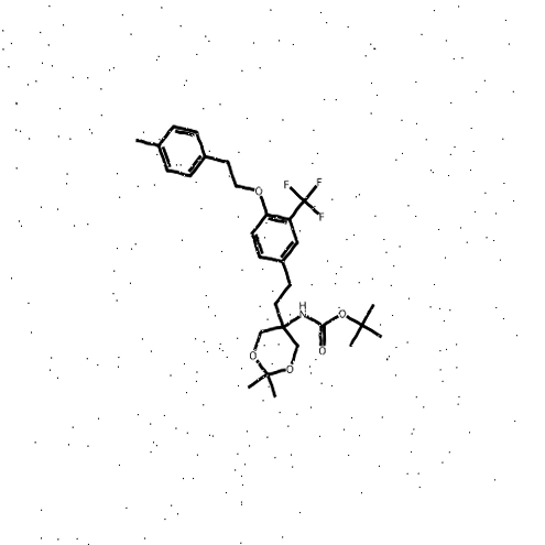 Cc1ccc(CCOc2ccc(CCC3(NC(=O)OC(C)(C)C)COC(C)(C)OC3)cc2C(F)(F)F)cc1